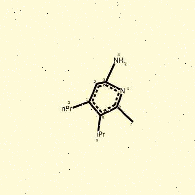 CCCc1cc(N)nc(C)c1C(C)C